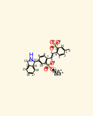 Cc1ccc(/C=C/c2ccc(C3NCc4ccccc43)cc2S(=O)(=O)[O-])c(S(=O)(=O)[O-])c1.[Na+].[Na+]